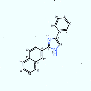 c1ccc(-c2c[nH]c(-c3ccc4ccccc4c3)n2)cc1